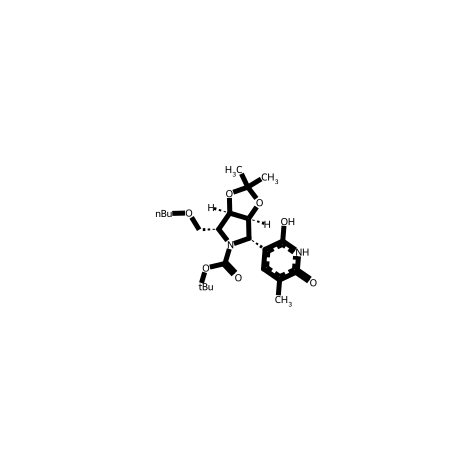 CCCCOC[C@@H]1[C@H]2OC(C)(C)O[C@H]2[C@H](c2cc(C)c(=O)[nH]c2O)N1C(=O)OC(C)(C)C